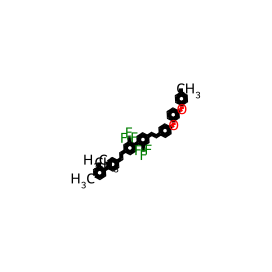 Cc1ccc(Oc2cccc(Oc3ccc(CCc4ccc(-c5ccc(CCc6ccc(-c7ccc(C)cc7C)c(C)c6)cc5C(F)(F)F)c(C(F)(F)F)c4)cc3)c2)cc1